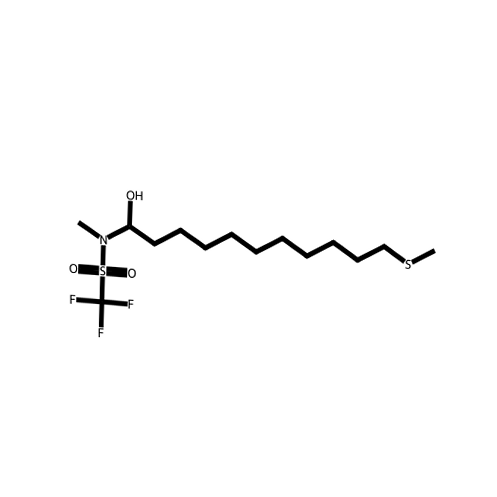 CSCCCCCCCCCCC(O)N(C)S(=O)(=O)C(F)(F)F